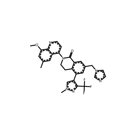 COc1cc(C)cc2c(N3CCc4c(cc(Cn5ccnc5)cc4-c4cn(C)nc4C(F)(F)F)C3=O)ccnc12